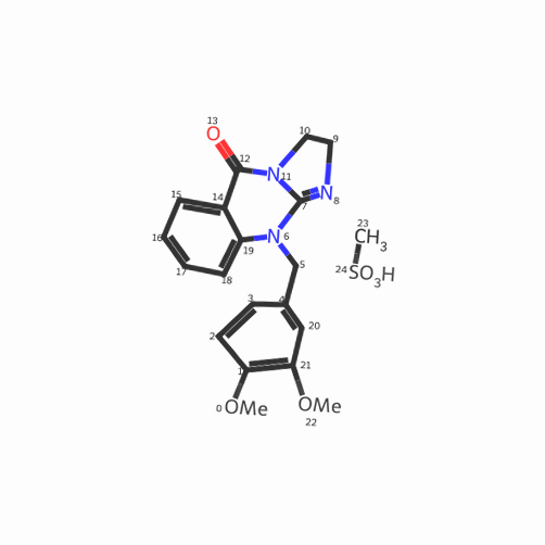 COc1ccc(CN2C3=NCCN3C(=O)c3ccccc32)cc1OC.CS(=O)(=O)O